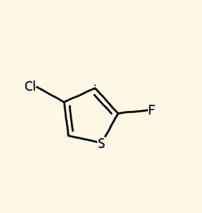 Fc1[c]c(Cl)cs1